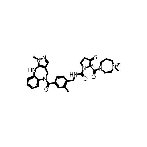 Cc1cc(C(=O)N2Cc3cnn(C)c3Nc3ccccc32)ccc1CNC(=O)N1CCC(=S)[C@H]1C(=O)N1CCC[N+](C)(C)CC1